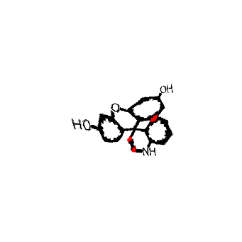 Oc1ccc2c(c1)Oc1cc(O)ccc1C21c2ccccc2Nc2ccccc21